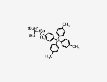 CC(C)(C)[PH+](C(C)(C)C)C(C)(C)C.Cc1ccc([B-](c2ccc(C)cc2)(c2ccc(C)cc2)c2ccc(C)cc2)cc1